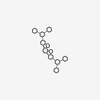 c1ccc(-c2cc(-c3ccccc3)cc(-c3ccc4c(c3)oc3c4ccc4c5ccc(-c6cc(-c7ccccc7)cc(-c7ccccc7)c6)cc5oc43)c2)cc1